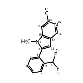 Cn1c(-c2ccccc2C(F)F)cc2cnc(Cl)cc21